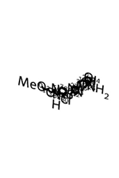 COCCOc1nc2ccc(Sc3cnc(N4CCC5(CC4)CO[C@@H](I)[C@H]5N)cn3)c(Cl)c2[nH]1